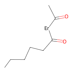 CCCCC[C](=O)[Er][C](C)=O